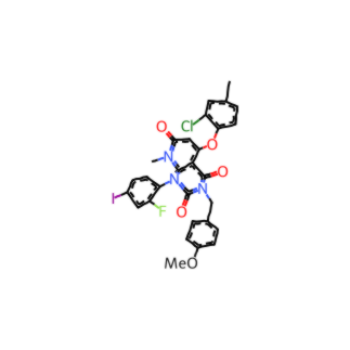 COc1ccc(Cn2c(=O)c3c(Oc4ccc(C)cc4Cl)cc(=O)n(C)c3n(-c3ccc(I)cc3F)c2=O)cc1